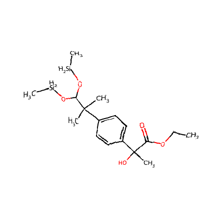 CCOC(=O)C(C)(O)c1ccc(C(C)(C)C(O[SiH2]C)O[SiH2]C)cc1